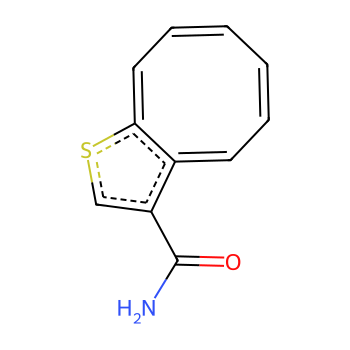 NC(=O)c1csc2c1=CC=CC=CC=2